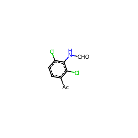 [CH2]C(=O)c1ccc(Cl)c(NC=O)c1Cl